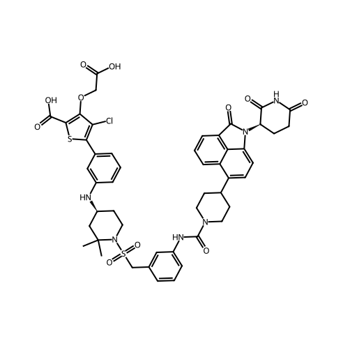 CC1(C)C[C@@H](Nc2cccc(-c3sc(C(=O)O)c(OCC(=O)O)c3Cl)c2)CCN1S(=O)(=O)Cc1cccc(NC(=O)N2CCC(c3ccc4c5c(cccc35)C(=O)N4[C@@H]3CCC(=O)NC3=O)CC2)c1